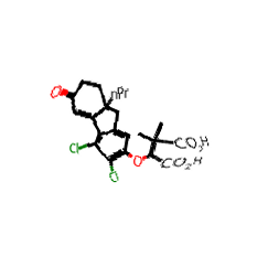 CCCC12CCC(=O)C=C1c1c(cc(OC(C(=O)O)C(C)(C)C(=O)O)c(Cl)c1Cl)C2